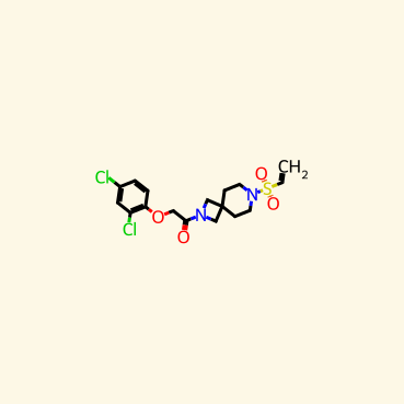 C=CS(=O)(=O)N1CCC2(CC1)CN(C(=O)COc1ccc(Cl)cc1Cl)C2